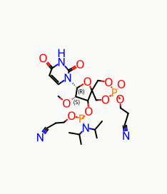 CO[C@H]1C(OP(OCCC#N)N(C(C)C)C(C)C)C2(COP(=O)(OCCC#N)OC2)O[C@H]1n1ccc(=O)[nH]c1=O